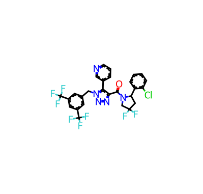 O=C(c1nnn(Cc2cc(C(F)(F)F)cc(C(F)(F)F)c2)c1-c1cccnc1)N1CC(F)(F)CC1c1ccccc1Cl